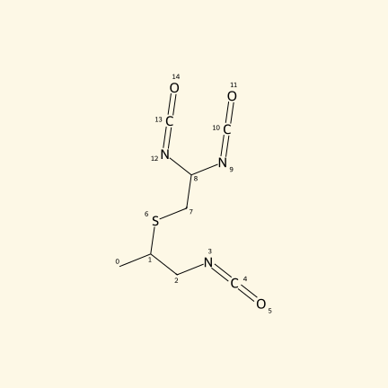 CC(CN=C=O)SCC(N=C=O)N=C=O